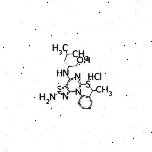 CC(C)C[C@H](CO)Nc1nc(S[C@@H](C)c2ccccc2)nc2nc(N)sc12.Cl